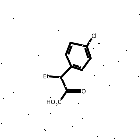 CCC(C(=O)C(=O)O)c1ccc(Cl)cc1